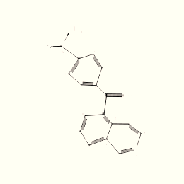 C[C@H](N)c1ccc(C(=O)c2cccc3cnccc23)cc1